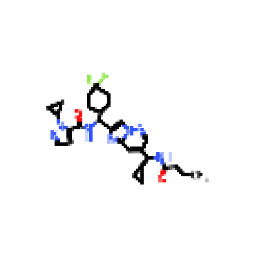 O=C(CCC(F)(F)F)NC(c1cnn2cc([C@@H](NC(=O)c3ccnn3C3CC3)C3CCC(F)(F)CC3)nc2c1)C1CC1